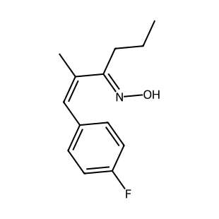 CCCC(=NO)C(C)=Cc1ccc(F)cc1